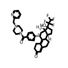 CC12C[C@H](c3ccc(C(=O)N4CCN(Cc5ccccn5)CC4)cc3)C3=C4CCC(=O)C=C4CCC3[C@@H]1CC[C@@]2(O)C(F)(F)C(F)F